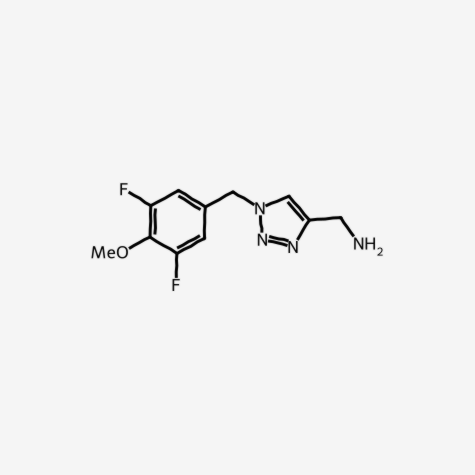 COc1c(F)cc(Cn2cc(CN)nn2)cc1F